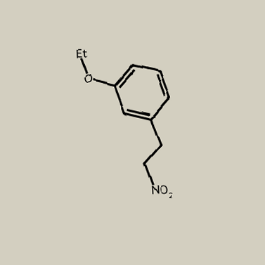 CCOc1cccc(CC[N+](=O)[O-])c1